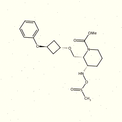 COC(=O)N1CCC[C@H](NOS(C)=O)[C@@H]1CO[C@H]1C[C@H](Oc2ccccc2)C1